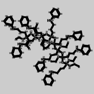 CCO[Si](CCCNc1ccccc1)(OCC)O[Si](CCCNc1ccccc1)(OCC)O[Si](CCCNc1ccccc1)(OCC)O[Si](CCCNc1ccccc1)(OCC)O[Si](CCCNc1ccccc1)(OCC)O[Si](CCCNc1ccccc1)(OCC)O[Si](CCCNc1ccccc1)(OCC)O[Si](CCCNc1ccccc1)(OCC)OCC